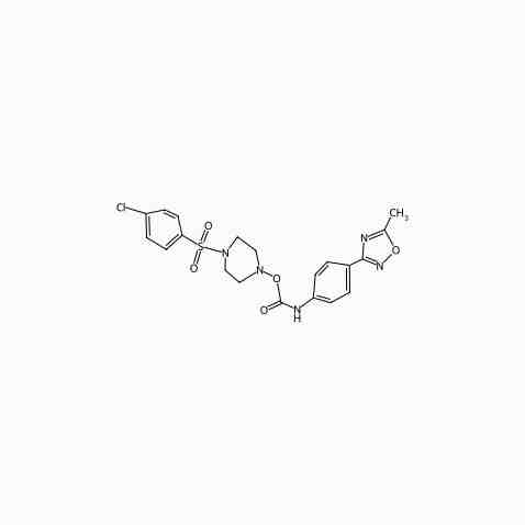 Cc1nc(-c2ccc(NC(=O)ON3CCN(S(=O)(=O)c4ccc(Cl)cc4)CC3)cc2)no1